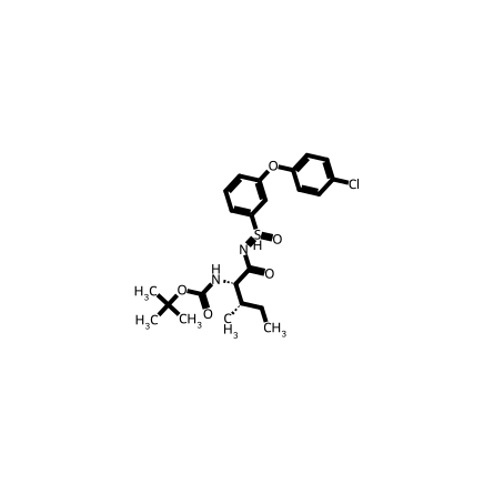 CC[C@H](C)[C@H](NC(=O)OC(C)(C)C)C(=O)/N=[SH](=O)/c1cccc(Oc2ccc(Cl)cc2)c1